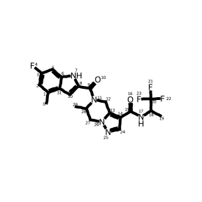 Cc1cc(F)cc2[nH]c(C(=O)N3Cc4c(C(=O)NC(C)C(F)(F)F)cnn4CC3C)cc12